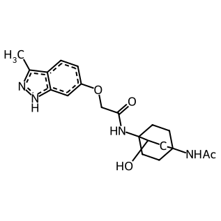 CC(=O)NC12CCC(NC(=O)COc3ccc4c(C)n[nH]c4c3)(CC1)C(O)C2